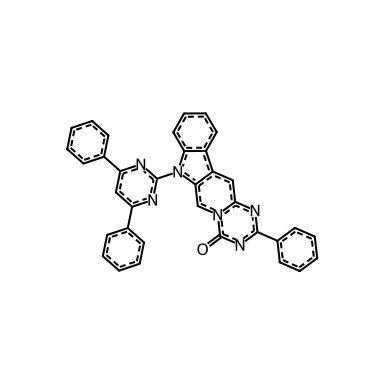 O=c1nc(-c2ccccc2)nc2cc3c4ccccc4n(-c4nc(-c5ccccc5)cc(-c5ccccc5)n4)c3cn12